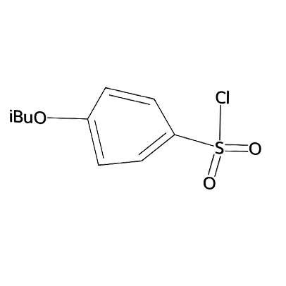 CC(C)COc1ccc(S(=O)(=O)Cl)cc1